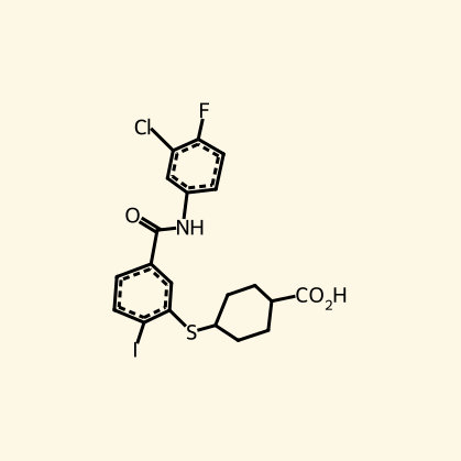 O=C(Nc1ccc(F)c(Cl)c1)c1ccc(I)c(SC2CCC(C(=O)O)CC2)c1